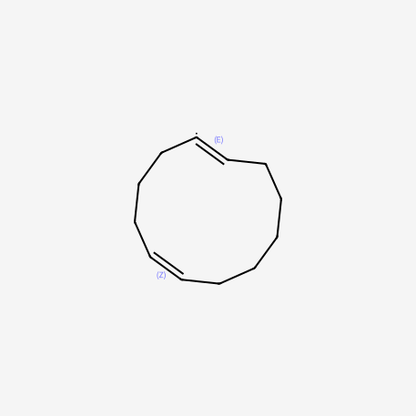 [C]1=C/CCCCC/C=C\CCC/1